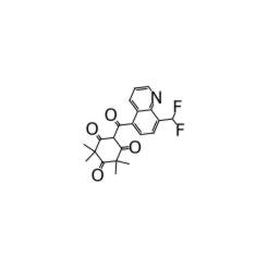 CC1(C)C(=O)C(C(=O)c2ccc(C(F)F)c3ncccc23)C(=O)C(C)(C)C1=O